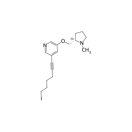 CN1CCC[C@H]1COc1cncc(C#CCCCCI)c1